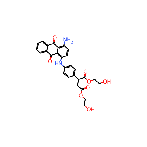 Nc1ccc(Nc2ccc(C(CC(=O)OCCO)C(=O)OCCO)cc2)c2c1C(=O)c1ccccc1C2=O